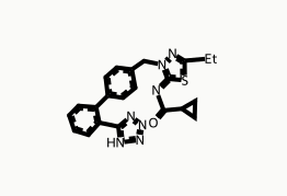 CCc1nn(Cc2ccc(-c3ccccc3-c3nnn[nH]3)cc2)c(=NC(=O)C2CC2)s1